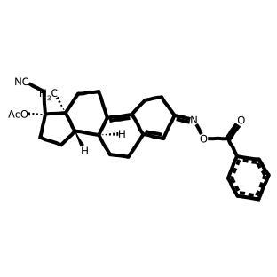 CC(=O)O[C@@]1(CC#N)CC[C@H]2[C@@H]3CCC4=C/C(=N\OC(=O)c5ccccc5)CCC4=C3CC[C@@]21C